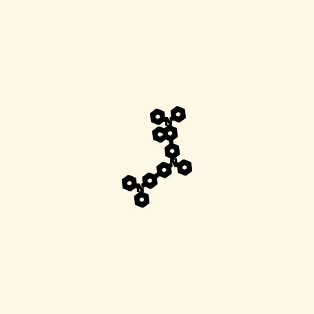 c1ccc(N(c2ccccc2)c2ccc(-c3ccc(N(c4ccccc4)c4ccc(-c5ccc(N(c6ccccc6)c6ccccc6)c6ccccc56)cc4)cc3)cc2)cc1